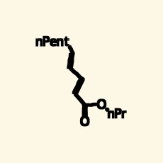 CCCCCC=CC=CC(=O)OCCC